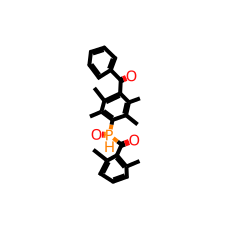 Cc1cccc(C)c1C(=O)[PH](=O)c1c(C)c(C)c(C(=O)c2ccccc2)c(C)c1C